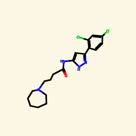 O=C(CCCN1CCCCCC1)Nc1cc(-c2ccc(Cl)cc2Cl)n[nH]1